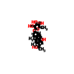 C[C@H](O)[C@H]1CC[C@]2(O)[C@@H]3CC[C@@H]4C[C@@H](O[C@@H]5O[C@@H](C)[C@H](O)[C@@H](O)[C@H]5O)CC[C@]4(C)[C@H]3CC[C@]12C